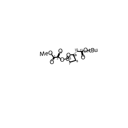 COC(=O)C(=O)OB1CC[C@@H](CC(=O)OC(C)(C)C)O1